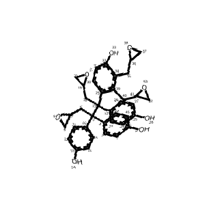 Oc1ccc(C(CC2CO2)(c2ccc(O)cc2)C(CC2CO2)(c2ccc(O)cc2)c2ccc(O)c(CC3CO3)c2CC2CO2)cc1